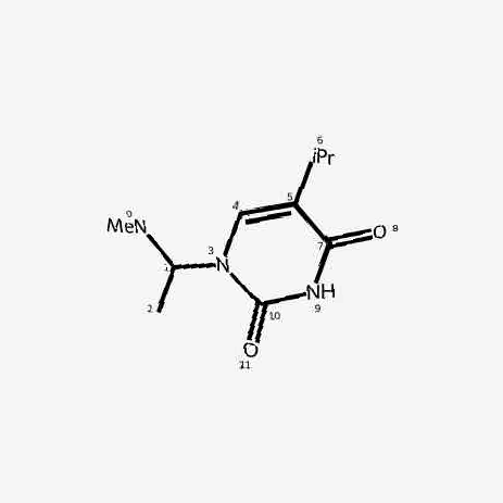 CNC(C)n1cc(C(C)C)c(=O)[nH]c1=O